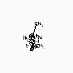 CCCCCCCCON1C(C)(C)CC(NC(=O)C(=O)Nc2ccccc2OCC)CC1(C)C